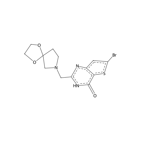 O=c1[nH]c(CN2CCC3(C2)OCCO3)nc2cc(Br)sc12